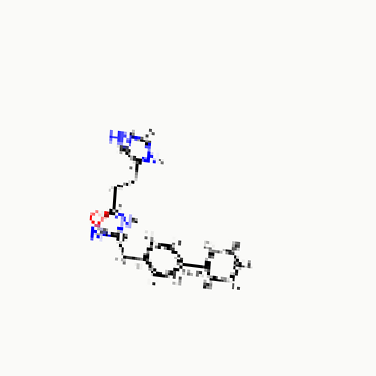 [CH](Cc1c[nH]cn1)c1nc(Cc2ccc(-c3ccccc3)cc2)no1